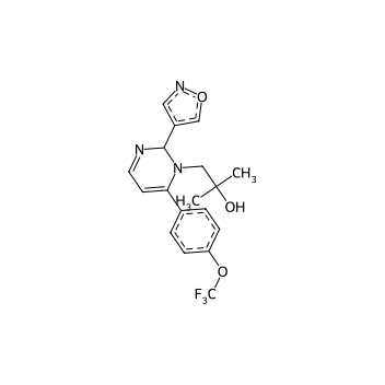 CC(C)(O)CN1C(c2ccc(OC(F)(F)F)cc2)=CC=NC1c1cnoc1